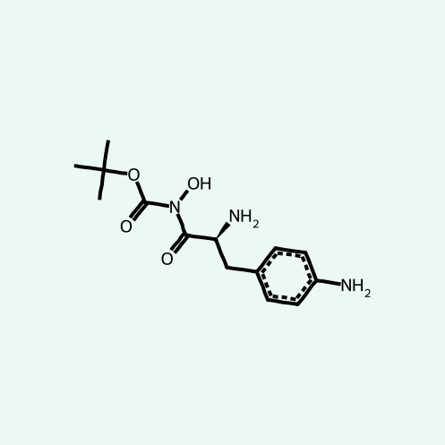 CC(C)(C)OC(=O)N(O)C(=O)[C@@H](N)Cc1ccc(N)cc1